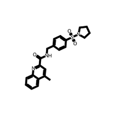 Cc1cc(C(=O)NCc2ccc(S(=O)(=O)N3CCCC3)cc2)nc2ccccc12